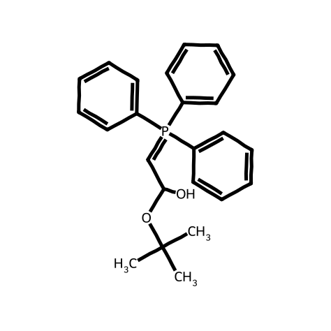 CC(C)(C)OC(O)C=P(c1ccccc1)(c1ccccc1)c1ccccc1